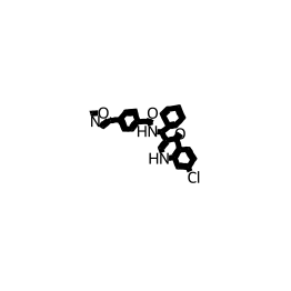 O=C(NC(c1ccccc1)c1c[nH]c2cc(Cl)ccc2c1=O)c1ccc(-c2cnco2)cc1